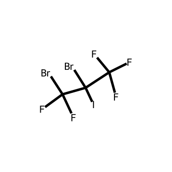 FC(F)(F)C(Br)(I)C(F)(F)Br